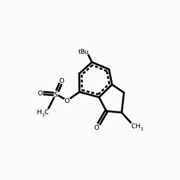 CC1Cc2cc(C(C)(C)C)cc(OS(C)(=O)=O)c2C1=O